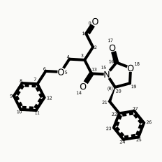 O=CCC(COCc1ccccc1)C(=O)N1C(=O)OC[C@H]1Cc1ccccc1